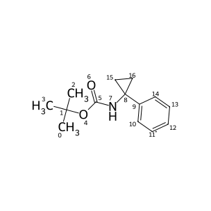 CC(C)(C)OC(=O)NC1(c2c[c]ccc2)CC1